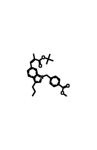 CCCc1cn(Cc2ccc(C(=O)OC)cc2)c2cc(C=C(C)C(=O)OC(C)(C)C)ccc12